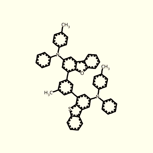 Cc1ccc(N(c2ccccc2)c2cc(-c3cc(C)cc(-c4cc(N(c5ccccc5)c5ccc(C)cc5)cc5c4sc4ccccc45)c3)c3oc4ccccc4c3c2)cc1